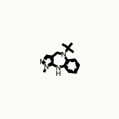 Cn1ncc2c1Nc1ccccc1N(C(C)(C)C)C2